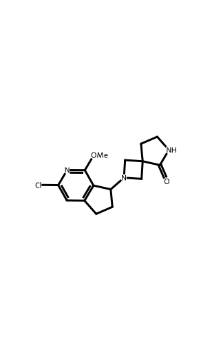 COc1nc(Cl)cc2c1C(N1CC3(CCNC3=O)C1)CC2